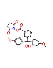 COc1ccc(C(O)(c2ccc(OC)cc2)c2cccc(C(=O)ON3C(=O)CCC3=O)c2)cc1